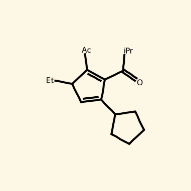 CCC1C=C(C2CCCC2)C(C(=O)C(C)C)=C1C(C)=O